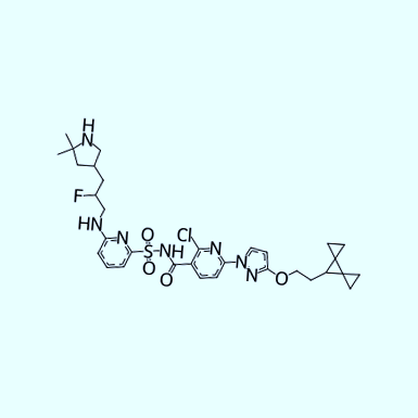 CC1(C)CC(CC(F)CNc2cccc(S(=O)(=O)NC(=O)c3ccc(-n4ccc(OCCC5C6(CC6)C56CC6)n4)nc3Cl)n2)CN1